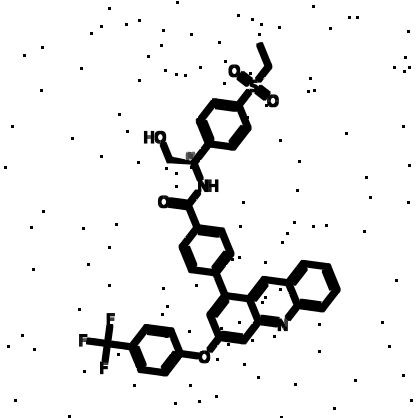 CCS(=O)(=O)c1ccc([C@H](CO)NC(=O)c2ccc(-c3cc(Oc4ccc(C(F)(F)F)cc4)cc4nc5ccccc5cc34)cc2)cc1